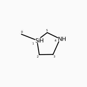 C[SiH]1CCNC1